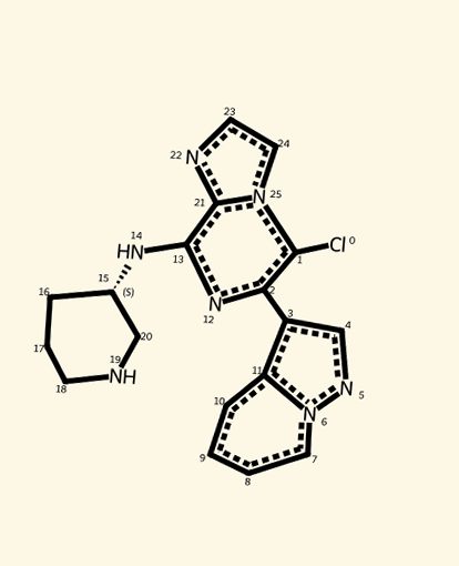 Clc1c(-c2cnn3ccccc23)nc(N[C@H]2CCCNC2)c2nccn12